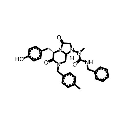 Cc1ccc(CN2C[C@H]3N(C(=O)CN3N(C)C(=O)NCc3ccccc3)[C@@H](Cc3ccc(O)cc3)C2=O)cc1